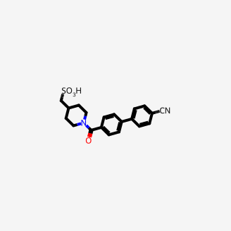 N#Cc1ccc(-c2ccc(C(=O)N3CCC(CS(=O)(=O)O)CC3)cc2)cc1